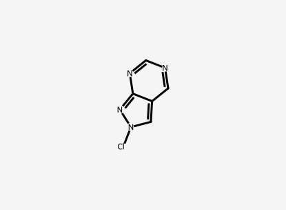 Cln1cc2cncnc2n1